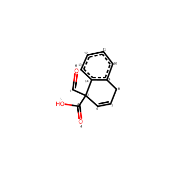 O=CC1(C(=O)O)C=CCc2ccccc21